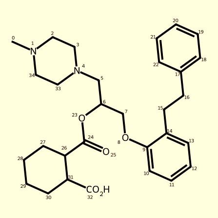 CN1CCN(CC(COc2ccccc2CCc2ccccc2)OC(=O)C2CCCCC2C(=O)O)CC1